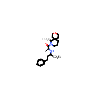 CCOC(=O)C(CCc1ccccc1)N[C@@H](C)C(=O)N1CCCC2(CCOCC2)C1C(=O)O